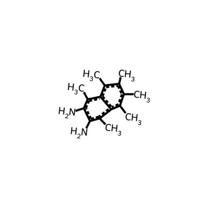 Cc1c(C)c(C)c2c(C)c(N)c(N)c(C)c2c1C